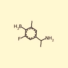 Bc1c(C)cc(C(C)N)cc1F